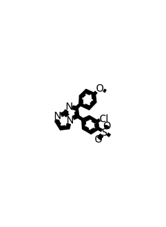 COc1ccc(-c2nc3ncccn3c2-c2ccc(S(C)(=O)=O)c(Cl)c2)cc1